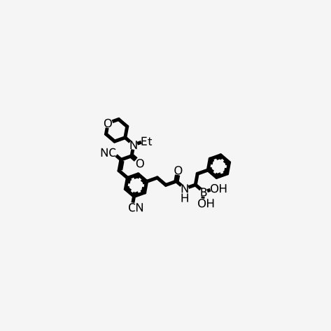 CCN(C(=O)C(C#N)=Cc1cc(C#N)cc(CCC(=O)NC(Cc2ccccc2)B(O)O)c1)C1CCOCC1